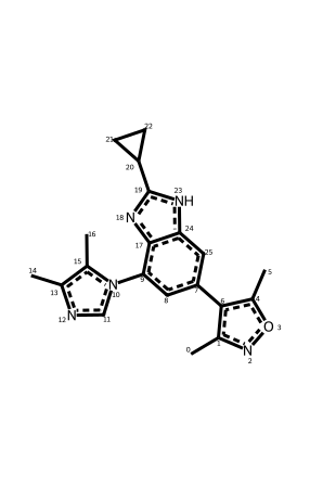 Cc1noc(C)c1-c1cc(-n2cnc(C)c2C)c2nc(C3CC3)[nH]c2c1